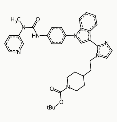 CN(C(=O)Nc1ccc(-n2cc(-c3nccn3CCC3CCN(C(=O)OC(C)(C)C)CC3)c3ccccc32)cc1)c1cccnc1